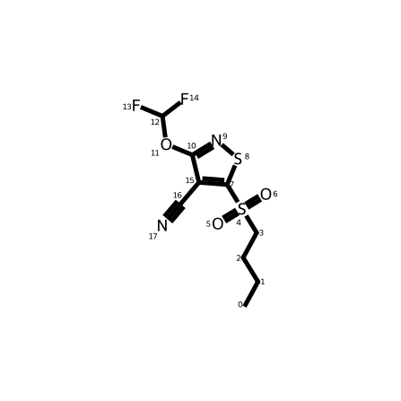 CCCCS(=O)(=O)c1snc(OC(F)F)c1C#N